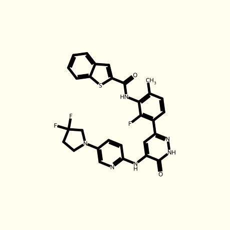 Cc1ccc(-c2cc(Nc3ccc(N4CCC(F)(F)C4)cn3)c(=O)[nH]n2)c(F)c1NC(=O)c1cc2ccccc2s1